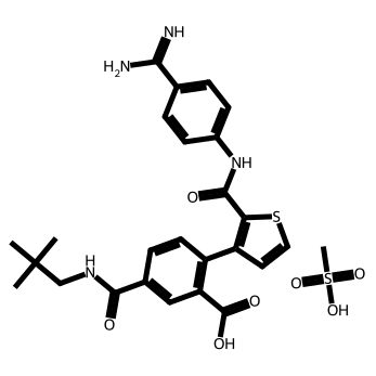 CC(C)(C)CNC(=O)c1ccc(-c2ccsc2C(=O)Nc2ccc(C(=N)N)cc2)c(C(=O)O)c1.CS(=O)(=O)O